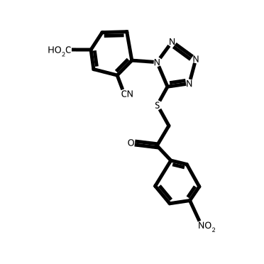 N#Cc1cc(C(=O)O)ccc1-n1nnnc1SCC(=O)c1ccc([N+](=O)[O-])cc1